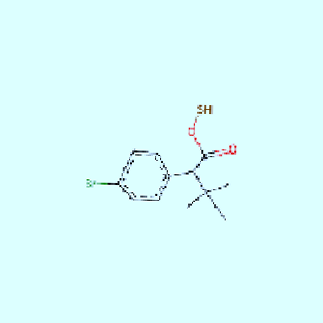 CC(C)(C)C(C(=O)OS)c1ccc(Br)cc1